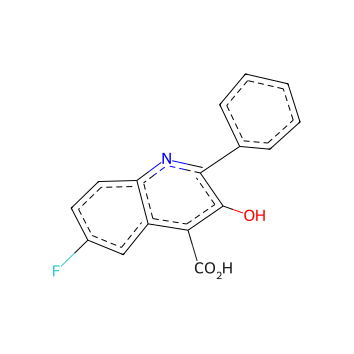 O=C(O)c1c(O)c(-c2ccccc2)nc2ccc(F)cc12